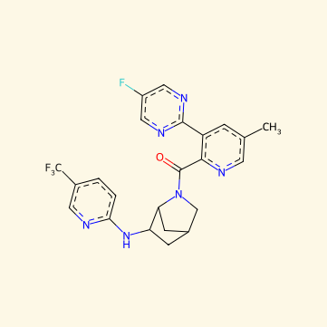 Cc1cnc(C(=O)N2CC3CC(Nc4ccc(C(F)(F)F)cn4)C2C3)c(-c2ncc(F)cn2)c1